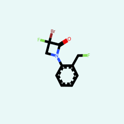 O=C1N(c2ccccc2CF)CC1(F)Br